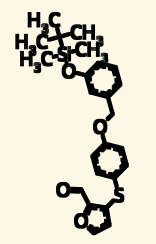 CC(C)(C)[Si](C)(C)Oc1cccc(COc2ccc(Sc3ccoc3C=O)cc2)c1